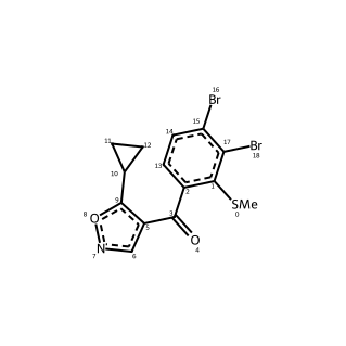 CSc1c(C(=O)c2cnoc2C2CC2)ccc(Br)c1Br